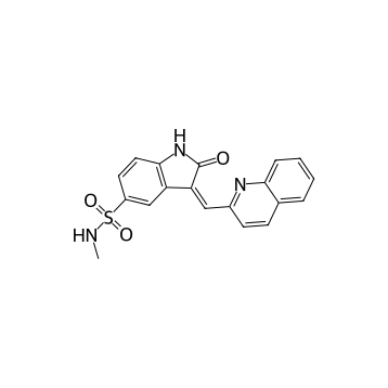 CNS(=O)(=O)c1ccc2c(c1)C(=Cc1ccc3ccccc3n1)C(=O)N2